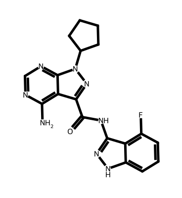 Nc1ncnc2c1c(C(=O)Nc1n[nH]c3cccc(F)c13)nn2C1CCCC1